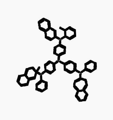 CC1C=CC=CC1N(c1ccc(N(c2ccc(N(C3=CC=c4ccccc4=CC3)c3ccccc3)cc2)c2ccc(N(c3ccccc3)C3(C)C=c4ccccc4=CC3)cc2)cc1)c1ccc2ccccc2c1